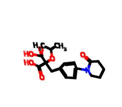 CC(C)OC(Cc1ccc(N2CCCCC2=O)cc1)(C(=O)O)C(=O)O